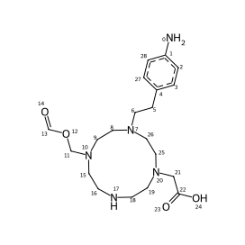 Nc1ccc(CCN2CCN(COC=O)CCNCCN(CC(=O)O)CC2)cc1